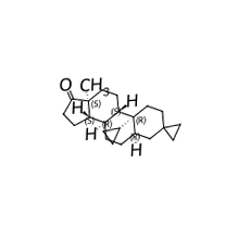 C[C@]12CC[C@H]3[C@@H](CC[C@@H]4CC5(CC5)CC[C@@]43C3CC3)[C@@H]1CCC2=O